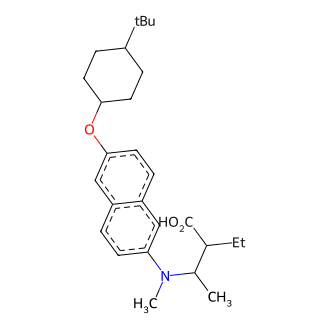 CCC(C(=O)O)C(C)N(C)c1ccc2cc(OC3CCC(C(C)(C)C)CC3)ccc2c1